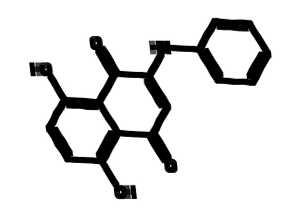 O=C1C=C(Nc2ccccc2)C(=O)c2c(O)ccc(O)c21